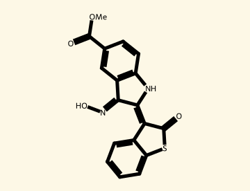 COC(=O)c1ccc2c(c1)C(=N\O)/C(=C1/C(=O)Sc3ccccc31)N2